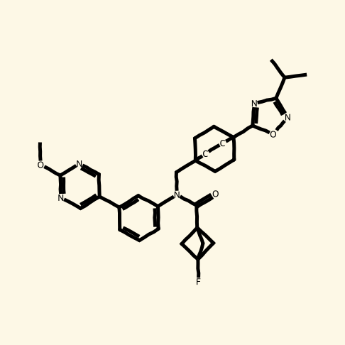 COc1ncc(-c2cccc(N(CC34CCC(c5nc(C(C)C)no5)(CC3)CC4)C(=O)C34CC(F)(C3)C4)c2)cn1